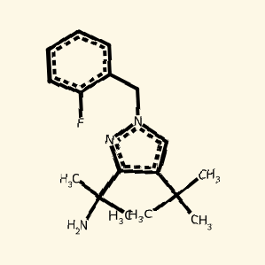 CC(C)(C)c1cn(Cc2ccccc2F)nc1C(C)(C)N